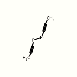 CC#C[P][P]C#CC